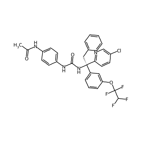 CC(=O)Nc1ccc(NC(=O)N[C@](Cc2ccccc2)(c2cccc(OC(F)(F)C(F)F)c2)c2ccc(Cl)cn2)cc1